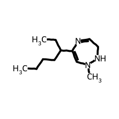 CCCCC(CC)C1=CN(C)NCC=N1